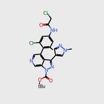 Cc1cc(NC(=O)CCl)cc(Cl)c1-c1cncc2c1c(-c1cnn(C)c1)nn2C(=O)OC(C)(C)C